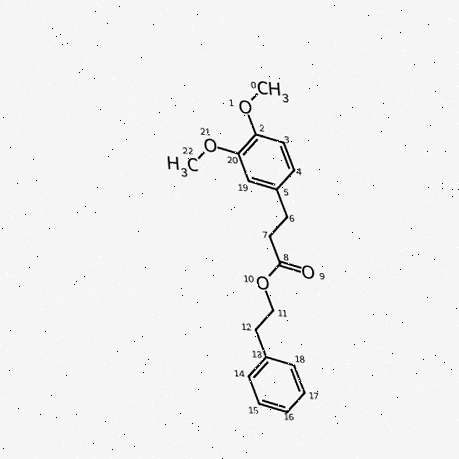 COc1ccc(CCC(=O)OCCc2ccccc2)cc1OC